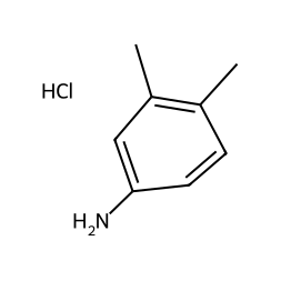 Cc1ccc(N)cc1C.Cl